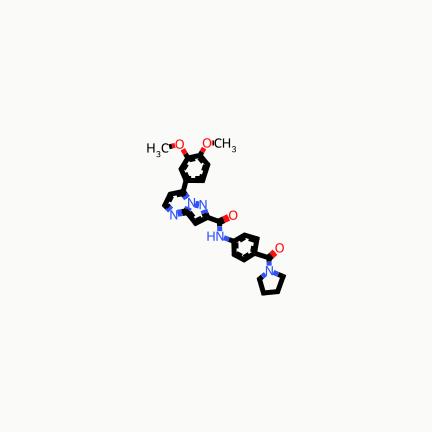 COc1ccc(-c2ccnc3cc(C(=O)Nc4ccc(C(=O)N5CCCC5)cc4)nn23)cc1OC